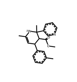 COC(=O)C1C(c2cccc(C)c2)C=C(C)NC1(C)c1cccnc1